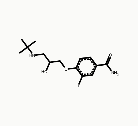 CC(C)(C)NCC(O)COc1ccc(C(N)=O)cc1I